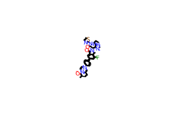 CC1CCC2CN(c3ccc(-c4cc(F)c5c(c4)C(=O)N(C(C(=O)Nc4nccs4)C4=NCN6CCCC46)C5)cc3)CCN2C1=O